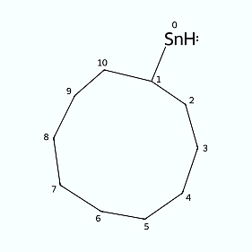 [SnH][CH]1CCCCCCCCC1